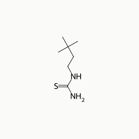 CC(C)(C)CCNC(N)=S